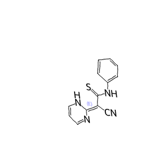 N#C/C(C(=S)Nc1ccccc1)=C1\N=CC=CN1